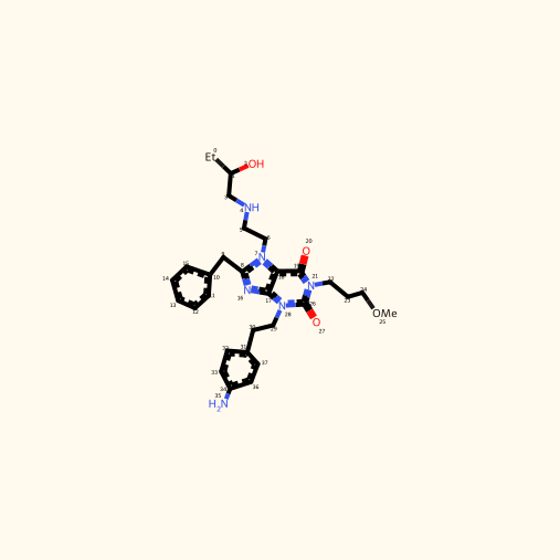 CCC(O)CNCCn1c(Cc2ccccc2)nc2c1c(=O)n(CCCOC)c(=O)n2CCc1ccc(N)cc1